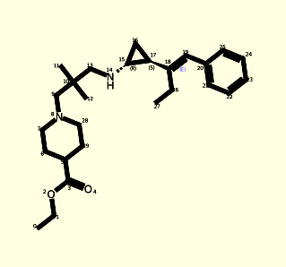 CCOC(=O)C1CCN(CC(C)(C)CN[C@@H]2C[C@H]2/C(=C/c2ccccc2)CC)CC1